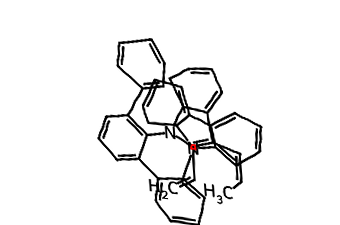 C=CC1=C(/C=C\C)C2=CC=CCC2N1c1c(-c2ccccc2)cccc1-c1ccccc1N1c2ccccc2C2=CC=CCC21